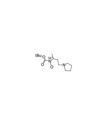 CC(CCN1CCCC1)[NH+]([O-])C(=O)OC(C)(C)C